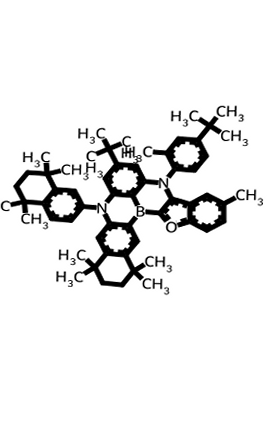 Cc1ccc2oc3c(c2c1)N(c1ccc(C(C)(C)C)cc1C)c1cc(C(C)(C)C)cc2c1B3c1cc3c(cc1N2c1ccc2c(c1)C(C)(C)CCC2(C)C)C(C)(C)CCC3(C)C